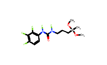 CO[Si](C)(CCCN(F)C(=O)N(F)c1ccc(F)c(F)c1F)OC